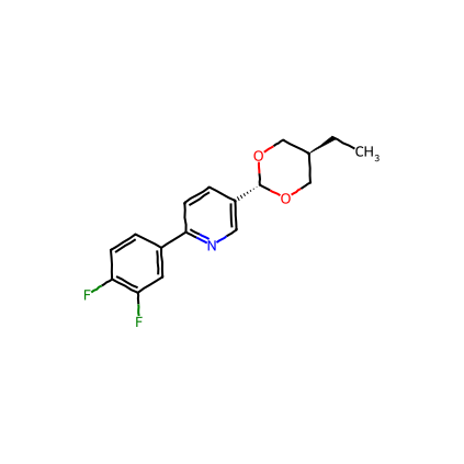 CC[C@H]1CO[C@H](c2ccc(-c3ccc(F)c(F)c3)nc2)OC1